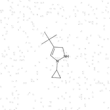 CC(C)(C)C1=CN(C2CC2)NC1